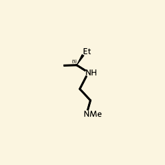 CC[C@H](C)NCCNC